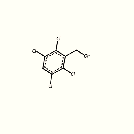 OCc1c(Cl)c(Cl)cc(Cl)c1Cl